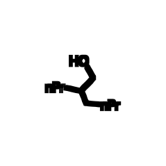 [CH2]CCCC(CO)CCC